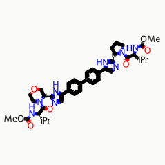 COC(=O)NC(C(=O)N1CCC[C@H]1c1ncc(-c2ccc(-c3ccc(-c4cnc([C@@H]5COCCN5C(=O)[C@@H](NC(=O)OC)C(C)C)[nH]4)cc3)cc2)[nH]1)C(C)C